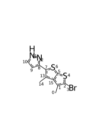 Cc1c(Br)sc2sc(-c3cc[nH]n3)c(C)c12